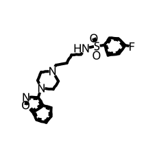 O=S(=O)(NCCCCN1CCN(c2noc3ccccc23)CC1)c1ccc(F)cc1